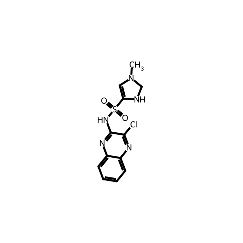 CN1C=C(S(=O)(=O)Nc2nc3ccccc3nc2Cl)NC1